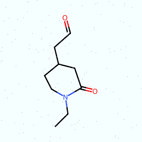 CCN1CCC(CC=O)CC1=O